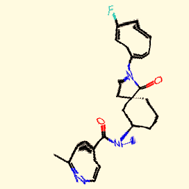 Cc1cc(C(=O)N[C@@H]2CCC[C@@]3(CCN(c4cccc(F)c4)C3=O)C2)ccn1